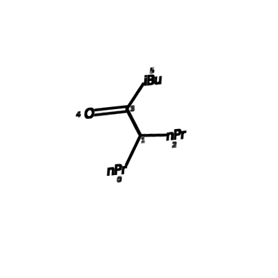 CCCC(CCC)C(=O)C(C)CC